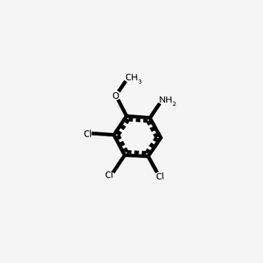 COc1c(N)cc(Cl)c(Cl)c1Cl